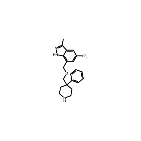 Cc1n[nH]c2c(COCC3(c4ccccc4)CCNCC3)cc(C(F)(F)F)cc12